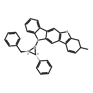 CC1C=Cc2c(sc3cc4c5ccccc5n(N5[C@H](c6ccccc6)[N@@]5Cc5ccccc5)c4cc23)C1